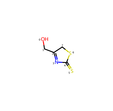 OCC1=NC(=S)SC1